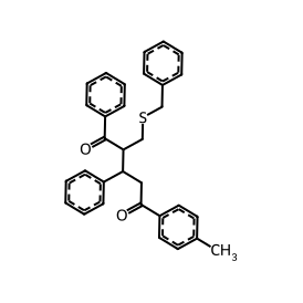 Cc1ccc(C(=O)CC(c2ccccc2)C(CSCc2ccccc2)C(=O)c2ccccc2)cc1